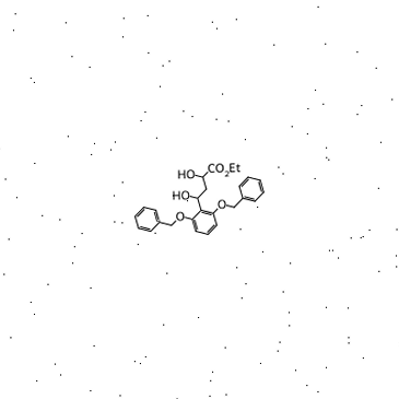 CCOC(=O)C(O)CC(O)c1c(OCc2ccccc2)cccc1OCc1ccccc1